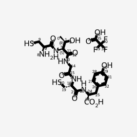 C[C@@H](O)[C@H](NC(=O)[C@@H](N)CS)C(=O)NCC(=O)N[C@@H](CS)C(=O)N[C@@H](Cc1ccc(O)cc1)C(=O)O.O=C(O)C(F)(F)F